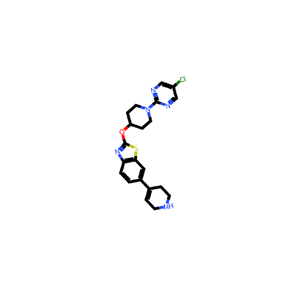 Clc1cnc(N2CCC(Oc3nc4ccc(C5=CCNCC5)cc4s3)CC2)nc1